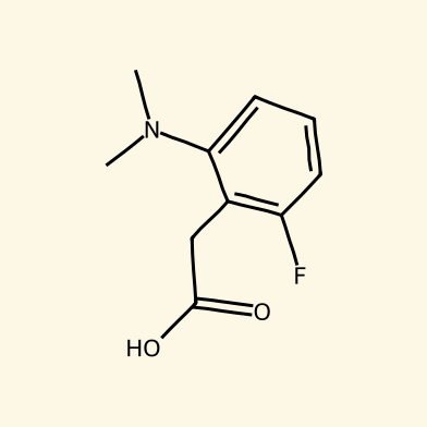 CN(C)c1cccc(F)c1CC(=O)O